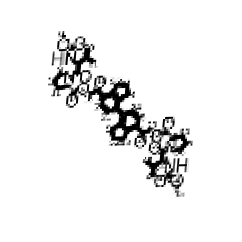 COC(=O)N[C@H](C(=O)N1CCC[C@H]1C(=O)OCC(=O)c1ccc(-c2ccc(C(=O)COC(=O)[C@@H]3CCCN3C(=O)[C@@H](NC(=O)OC)C(C)C)c3c2CCC3)c2c1CCC2)C(C)C